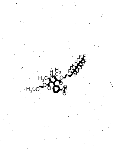 COCCOC(=O)C1=C(C)NC(C)=C(C(=O)OCCCC(F)(F)C(F)(F)C(F)(F)C(F)(F)C(F)(F)C(F)(F)F)C1c1cccc([N+](=O)[O-])c1